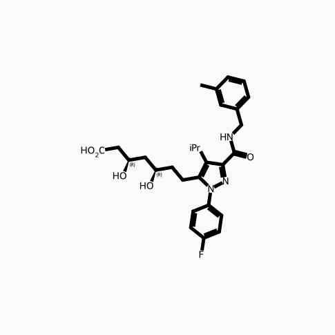 Cc1cccc(CNC(=O)c2nn(-c3ccc(F)cc3)c(CC[C@@H](O)C[C@@H](O)CC(=O)O)c2C(C)C)c1